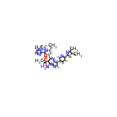 CCC(CCc1nc2c(-c3ccc(-c4nc(C)c(C)s4)nc3)cnn2c(N)c1S(C)(=O)=O)N(CC)C(=O)c1nnc[nH]1